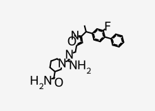 CC(c1ccc(-c2ccccc2)c(F)c1)c1cc(C/N=C(\N)N2CCCC(C(N)=O)C2)on1